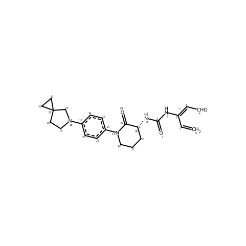 C=C/C(=C\C=O)NC(=O)N[C@@H]1CCCN(c2ccc(N3CCC4(CC4)C3)cc2)C1=O